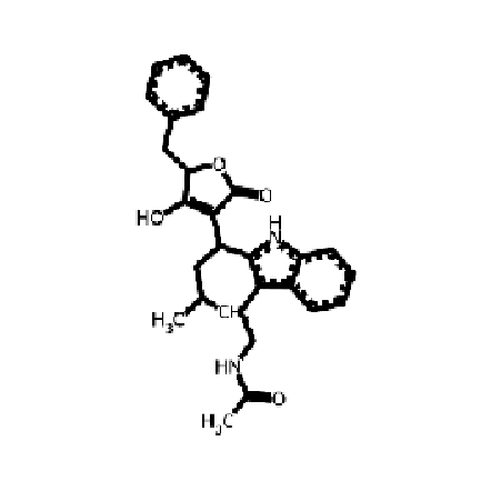 CC(=O)NCCc1c(C(CC(C)C)C2=C(O)C(Cc3ccccc3)OC2=O)[nH]c2ccccc12